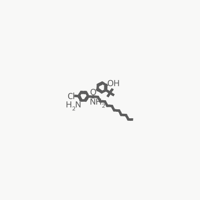 CCCCCCCCCCCC(N)(Oc1ccc(O)c(C(C)(C)C)c1)c1ccc(Cl)c(N)c1